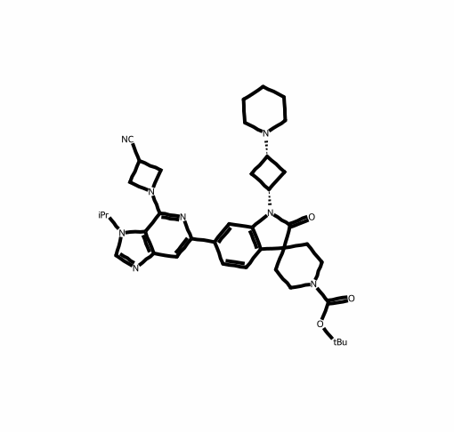 CC(C)n1cnc2cc(-c3ccc4c(c3)N([C@H]3C[C@@H](N5CCCCC5)C3)C(=O)C43CCN(C(=O)OC(C)(C)C)CC3)nc(N3CC(C#N)C3)c21